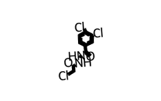 O=C(CCl)NNC(=O)c1ccc(Cl)c(Cl)c1